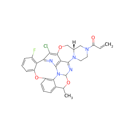 C=CC(=O)N1CCN2C3=NC4OC(C)c5cccc6c5N4c4nc(c(Cl)c(c43)OC[C@@H]2C1)-c1c(F)cccc1O6